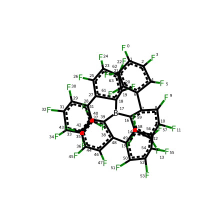 Fc1c(F)c(F)c(-c2c(F)c(F)c(F)c(F)c2B(c2c(F)c(F)c(F)c(F)c2-c2c(F)c(F)c(F)c(F)c2F)c2c(F)c(F)c(F)c(F)c2-c2c(F)c(F)c(F)c(F)c2F)c(F)c1F